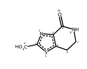 O=C(O)c1nc2c(s1)CCNC2=O